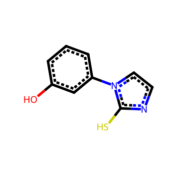 Oc1cccc(-n2ccnc2S)c1